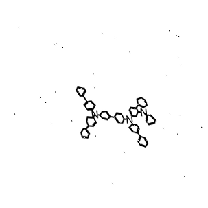 C1=CCCC(C2C=CC(N(c3ccc(-c4ccccc4)cc3)C3C=CC(C4=CCC(N(C5=CC=C6C7=C(C=CCC7)N(c7ccccc7)C6C5)c5ccc(-c6ccccc6)cc5)C=C4)=CC3)=CC2)=C1